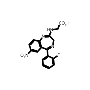 O=C(O)CNC1=Nc2ccc([N+](=O)[O-])cc2C(c2ccccc2F)=NC1